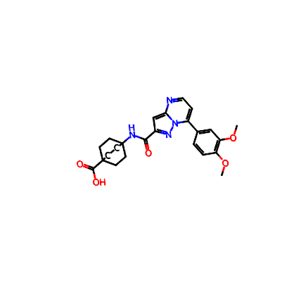 COc1ccc(-c2ccnc3cc(C(=O)NC45CCC(C(=O)O)(CC4)CC5)nn23)cc1OC